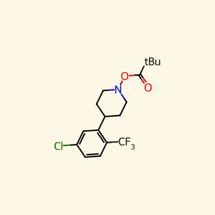 CC(C)(C)C(=O)ON1CCC(c2cc(Cl)ccc2C(F)(F)F)CC1